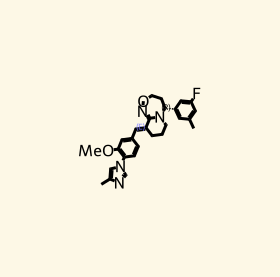 COc1cc(/C=C2\CCCN3C2=NOCC[C@@H]3c2cc(C)cc(F)c2)ccc1-n1cnc(C)c1